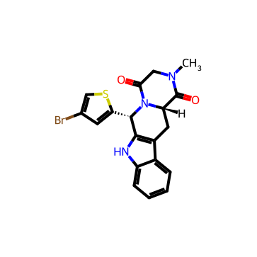 CN1CC(=O)N2[C@@H](c3cc(Br)cs3)c3[nH]c4ccccc4c3C[C@H]2C1=O